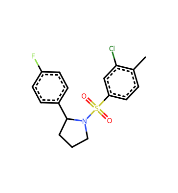 Cc1ccc(S(=O)(=O)N2CCCC2c2ccc(F)cc2)cc1Cl